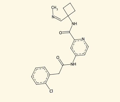 C/N=C\C1(NC(=O)c2cc(NC(=O)Cc3ccccc3Cl)ccn2)CCC1